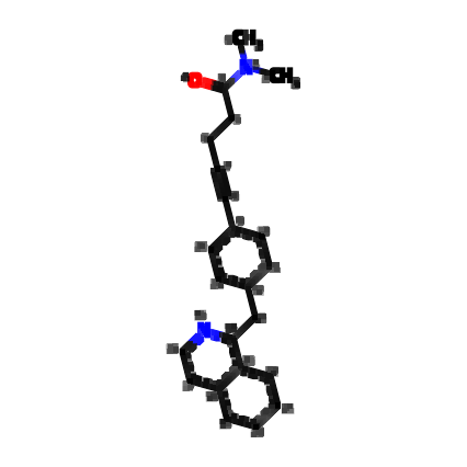 CN(C)C(=O)CCC#Cc1ccc(Cc2nccc3ccccc23)cc1